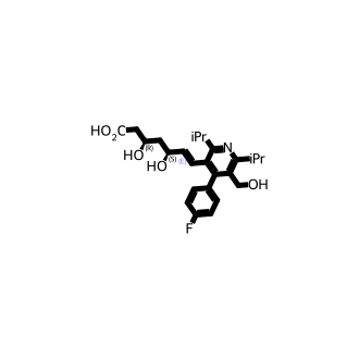 CC(C)c1nc(C(C)C)c(CO)c(-c2ccc(F)cc2)c1/C=C/[C@@H](O)C[C@@H](O)CC(=O)O